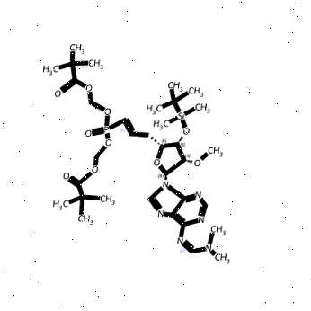 CO[C@H]1[C@@H](O[Si](C)(C)C(C)(C)C)[C@@H](C/C=C/P(=O)(OCOC(=O)C(C)(C)C)OCOC(=O)C(C)(C)C)O[C@H]1n1cnc2c(/N=C\N(C)C)ncnc21